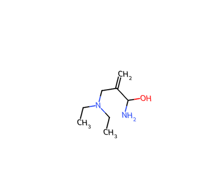 C=C(CN(CC)CC)C(N)O